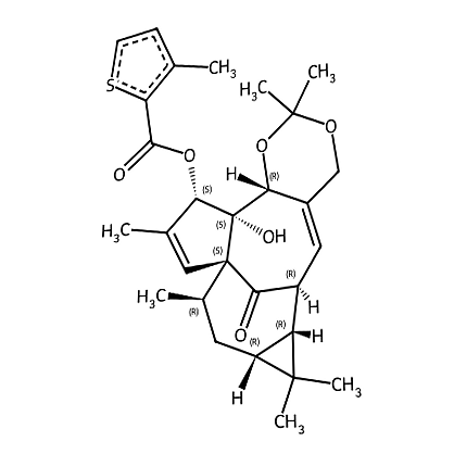 CC1=C[C@]23C(=O)[C@@H](C=C4COC(C)(C)O[C@H]4[C@]2(O)[C@H]1OC(=O)c1sccc1C)[C@H]1[C@@H](C[C@H]3C)C1(C)C